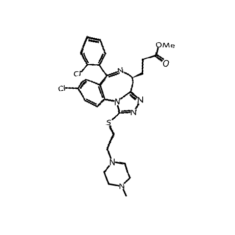 COC(=O)CC[C@@H]1N=C(c2ccccc2Cl)c2cc(Cl)ccc2-n2c(SCCN3CCN(C)CC3)nnc21